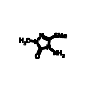 CSc1nn(C)c(=O)n1N